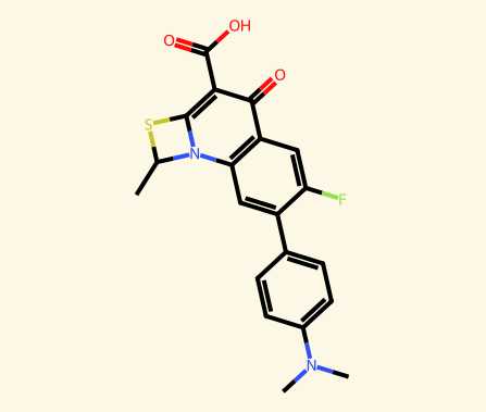 CC1Sc2c(C(=O)O)c(=O)c3cc(F)c(-c4ccc(N(C)C)cc4)cc3n21